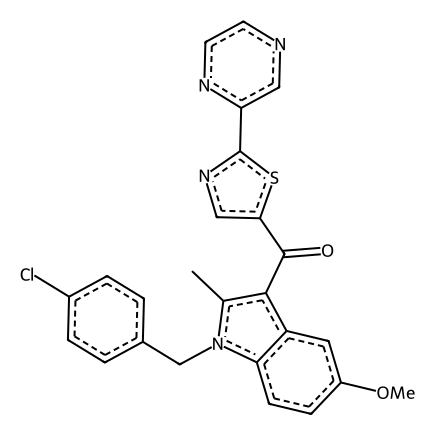 COc1ccc2c(c1)c(C(=O)c1cnc(-c3cnccn3)s1)c(C)n2Cc1ccc(Cl)cc1